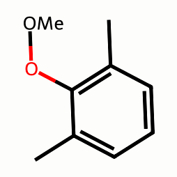 COOc1c(C)cccc1C